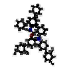 Cc1ccc(-c2ccc3c(c2)c2cc(-c4ccc(C)cc4C)ccc2n3-c2cccc(C=O)c2C(=O)N(C)c2ccc(-c3ccccc3)cc2-c2ccccc2)c(C)c1